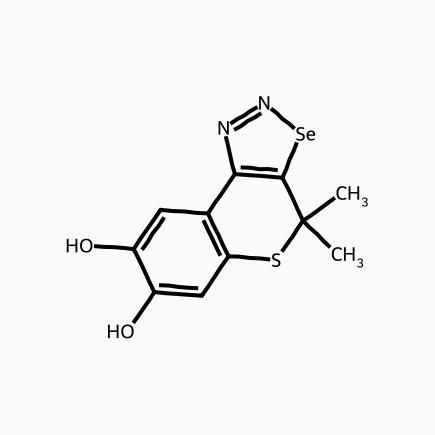 CC1(C)Sc2cc(O)c(O)cc2-c2nn[se]c21